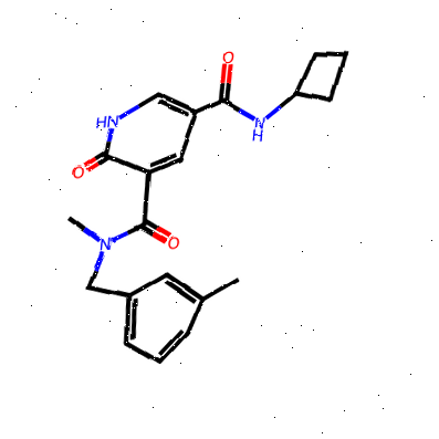 Cc1cccc(CN(C)C(=O)c2cc(C(=O)NC3CCC3)c[nH]c2=O)c1